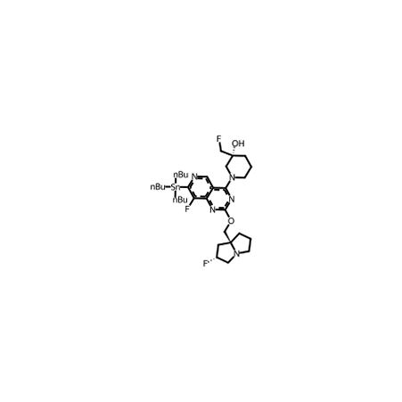 CCC[CH2][Sn]([CH2]CCC)([CH2]CCC)[c]1ncc2c(N3CCC[C@](O)(CF)C3)nc(OC[C@@]34CCCN3C[C@H](F)C4)nc2c1F